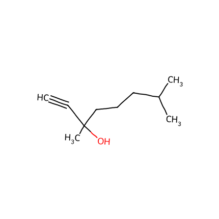 C#CC(C)(O)CCCC(C)C